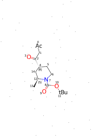 CC(=O)CC(=O)[C@@H]1CCN(C(=O)OC(C)(C)C)[C@@H](C)C1